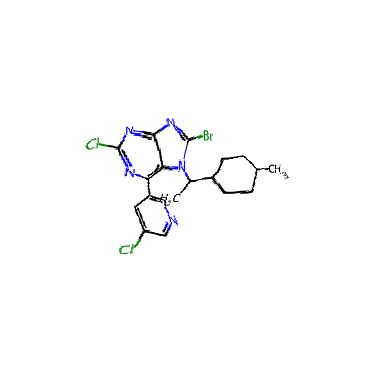 CC1CCC(C(C)n2c(Br)nc3nc(Cl)nc(-c4cncc(Cl)c4)c32)CC1